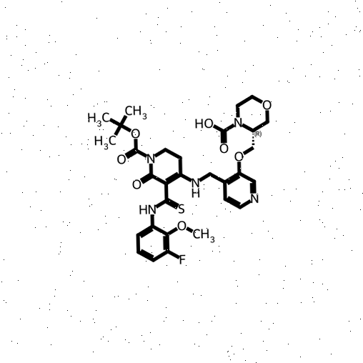 COc1c(F)cccc1NC(=S)C1=C(NCc2ccncc2OC[C@H]2COCCN2C(=O)O)CCN(C(=O)OC(C)(C)C)C1=O